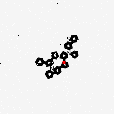 c1ccc(-c2cc(-c3ccccc3)cc(-n3c4ccccc4c4ccc(-c5cccc(-c6cccc(N(c7ccccc7)c7ccc8sc9ccccc9c8c7)c6)c5)cc43)c2)cc1